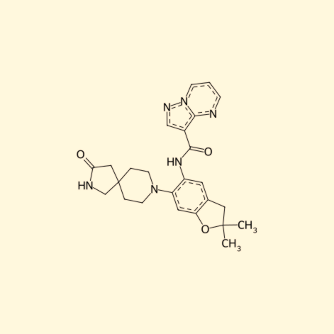 CC1(C)Cc2cc(NC(=O)c3cnn4cccnc34)c(N3CCC4(CC3)CNC(=O)C4)cc2O1